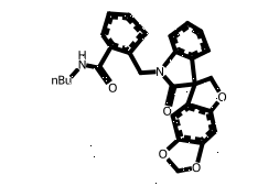 CCCCNC(=O)c1ccccc1CN1C(=O)C2(COc3cc4c(cc32)OCO4)c2ccccc21